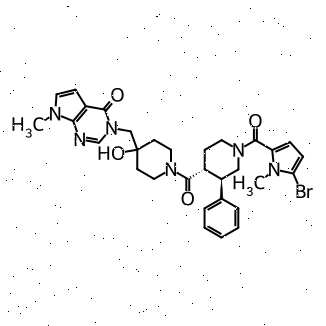 Cn1c(Br)ccc1C(=O)N1CC[C@@H](C(=O)N2CCC(O)(Cn3cnc4c(ccn4C)c3=O)CC2)[C@H](c2ccccc2)C1